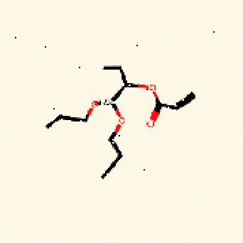 C=CC(=O)OC(CC)[SiH](OCCC)OCCC